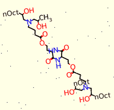 CCCCCCCCC(O)CN(CCCC(=O)OCCC1NC(=O)C(CCOC(=O)CCCN(CC(O)CCCCCCCC)CC(O)CCCCCCCC)NC1=O)CC(C)O